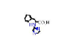 O=C(O)[C@H](Cc1ccccc1)Nc1cnccn1